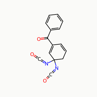 O=C=NC1(N=C=O)C=C(C(=O)c2ccccc2)C=CC1